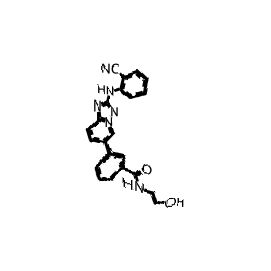 N#Cc1ccccc1Nc1nc2ccc(-c3cccc(C(=O)NCCO)c3)cn2n1